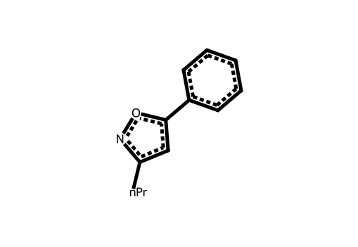 CCCc1cc(-c2ccccc2)on1